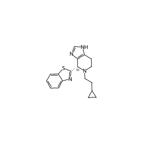 c1ccc2sc([C@@H]3c4nc[nH]c4CCN3CCC3CC3)nc2c1